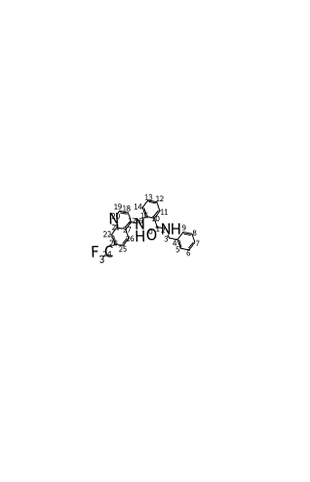 O=C(NCc1ccccc1)c1ccccc1Nc1ccnc2cc(C(F)(F)F)ccc12